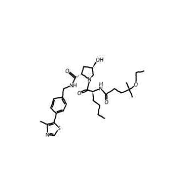 CCCC[C@H](NC(=O)CCC(C)(C)OCC)C(=O)N1C[C@H](O)C[C@H]1C(=O)NCc1ccc(-c2scnc2C)cc1